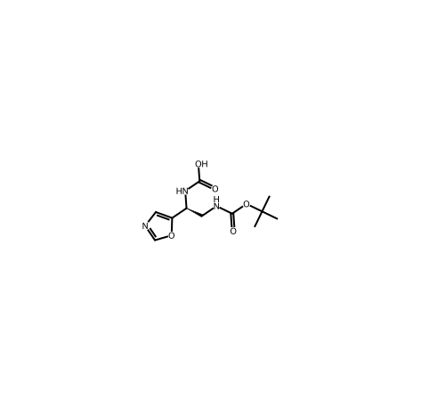 CC(C)(C)OC(=O)NC[C@H](NC(=O)O)c1cnco1